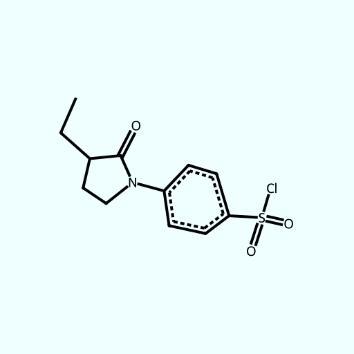 CCC1CCN(c2ccc(S(=O)(=O)Cl)cc2)C1=O